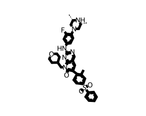 Cc1cc(S(=O)(=O)c2ccccc2)ccc1-c1cc2cnc(Nc3ccc(N4C[C@@H](C)N[C@@H](C)C4)c(F)c3)nc2n(CC2CCOCC2)c1=O